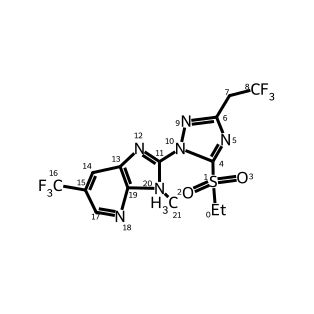 CCS(=O)(=O)c1nc(CC(F)(F)F)nn1-c1nc2cc(C(F)(F)F)cnc2n1C